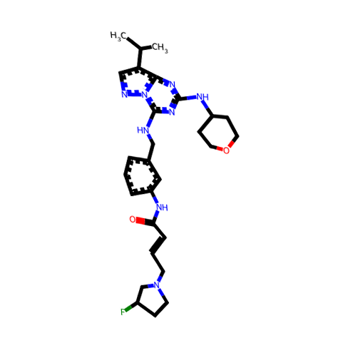 CC(C)c1cnn2c(NCc3cccc(NC(=O)/C=C/CN4CCC(F)C4)c3)nc(NC3CCOCC3)nc12